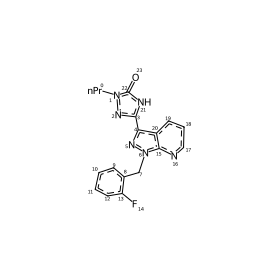 CCCn1nc(-c2nn(Cc3ccccc3F)c3ncccc23)[nH]c1=O